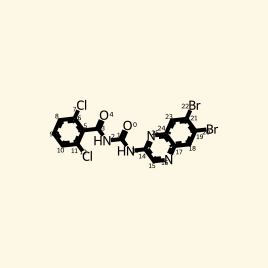 O=C(NC(=O)c1c(Cl)cccc1Cl)Nc1cnc2cc(Br)c(Br)cc2n1